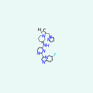 C=C(Cn1cccn1)N1CCC[C@@H](Nc2ccnc(-c3cnc4ccc(F)cn34)n2)C1